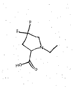 CCN1CC(F)(F)CC1C(=O)O